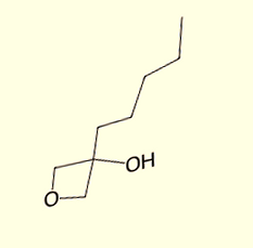 CCCCCC1(O)COC1